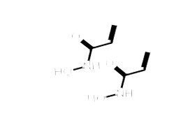 C=CC(=O)NO.C=CC(=O)NO